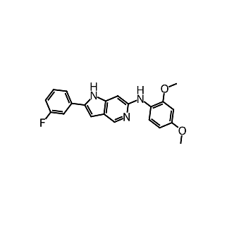 COc1ccc(Nc2cc3[nH]c(-c4cccc(F)c4)cc3cn2)c(OC)c1